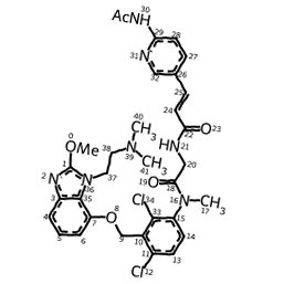 COc1nc2cccc(OCc3c(Cl)ccc(N(C)C(=O)CNC(=O)/C=C/c4ccc(NC(C)=O)nc4)c3Cl)c2n1CCN(C)C